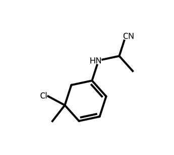 CC(C#N)NC1=CC=CC(C)(Cl)C1